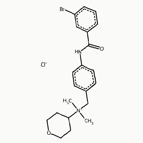 C[N+](C)(Cc1ccc(NC(=O)c2cccc(Br)c2)cc1)C1CCOCC1.[Cl-]